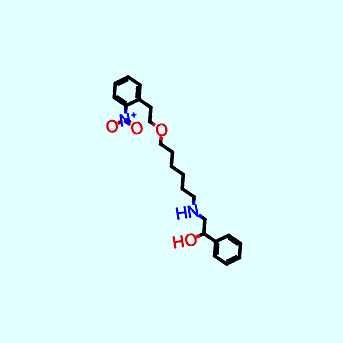 O=[N+]([O-])c1ccccc1CCOCCCCCCNCC(O)c1ccccc1